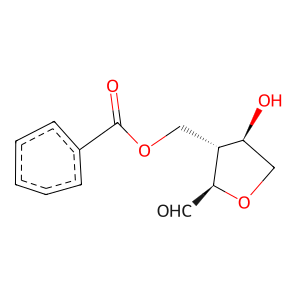 O=C[C@@H]1OC[C@H](O)[C@H]1COC(=O)c1ccccc1